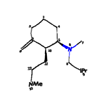 C=C1CCC[C@@H](N(C)CC(C)C)[C@H]1CCNC